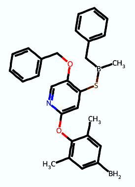 Bc1cc(C)c(Oc2cc(SB(C)Cc3ccccc3)c(OCc3ccccc3)cn2)c(C)c1